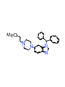 COCCN1CCN(c2ccc3ncn(C(c4ccccc4)c4ccccc4)c3c2)CC1